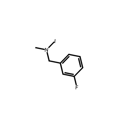 CN(I)Cc1cccc(F)c1